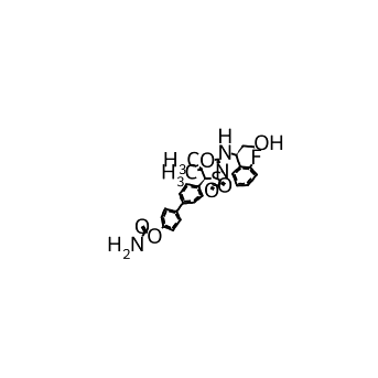 CC1(C)OC(N[C@@H](CCO)c2ccccc2F)=NS(=O)(=O)[C@H]1c1ccc(-c2ccc(OC(N)=O)cc2)cc1